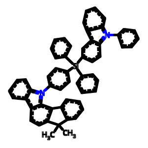 CC1(C)c2ccccc2-c2c1ccc1c3ccccc3n(-c3ccc([Si](c4ccccc4)(c4ccccc4)c4ccc5c(c4)c4ccccc4n5-c4ccccc4)cc3)c21